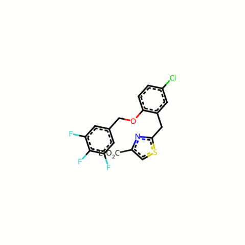 CCOC(=O)c1csc(Cc2cc(Cl)ccc2OCc2cc(F)c(F)c(F)c2)n1